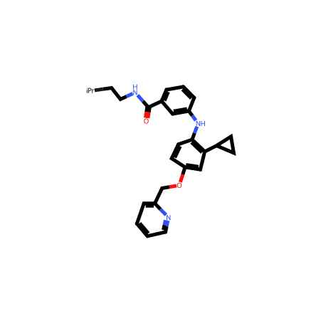 CC(C)CCNC(=O)c1cccc(Nc2ccc(OCc3ccccn3)cc2C2CC2)c1